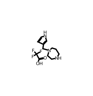 O=C(O)C(F)(F)F.c1cc(CN2CCCNCC2)c[nH]1